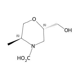 C[C@H]1CO[C@H](CO)CN1C(=O)O